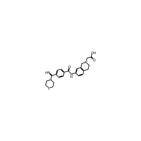 N=C(c1ccc(C(=O)Nc2ccc3c(c2)CN(CC(=O)O)CC3)cc1)N1CCSCC1